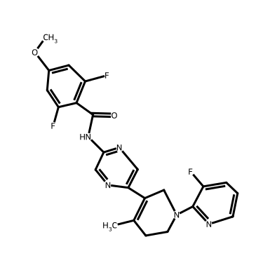 COc1cc(F)c(C(=O)Nc2cnc(C3=C(C)CCN(c4ncccc4F)C3)cn2)c(F)c1